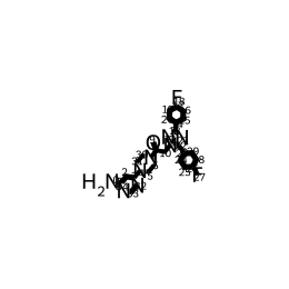 Nc1cc(N2CCN(C(=O)Cn3nc(-c4ccc(F)cc4)nc3-c3ccc(F)cc3)CC2)ncn1